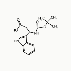 CC(C)(C)OC(=O)NC(CC(=O)O)c1c[nH]c2ccccc12